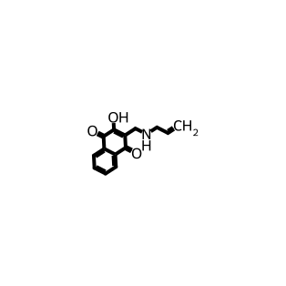 C=CCNCC1=C(O)C(=O)c2ccccc2C1=O